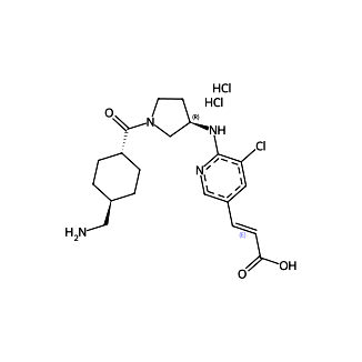 Cl.Cl.NC[C@H]1CC[C@H](C(=O)N2CC[C@@H](Nc3ncc(/C=C/C(=O)O)cc3Cl)C2)CC1